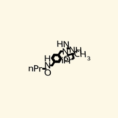 CCCC(=O)NCc1ccc(CN2C(=N)NC(C)(CC(C)C)C2=O)cc1